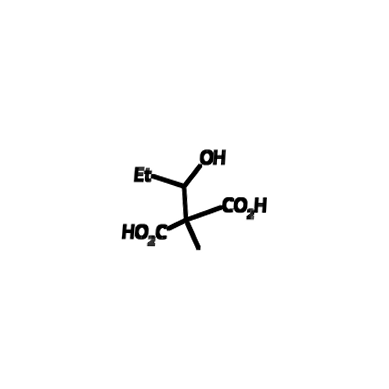 CCC(O)C(C)(C(=O)O)C(=O)O